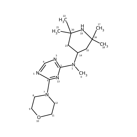 CN(c1ncnc(N2CCOCC2)n1)C1CC(C)(C)NC(C)(C)C1